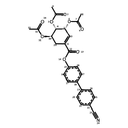 CC(=O)O[C@@H]1[C@H](OC(C)=O)C=C(C(=O)Oc2ccc(-c3ccc(C#N)cc3)cc2)C[C@H]1OC(C)=O